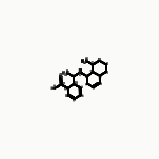 CC(NC1CC=CC2CCCC(N)C21)C1C=CC=CC1C(=O)O